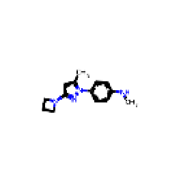 CNc1ccc(-n2nc(N3CCC3)cc2C)cc1